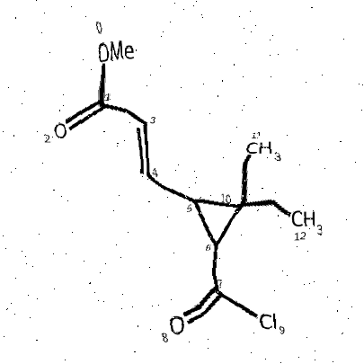 COC(=O)C=CC1C(C(=O)Cl)C1(C)C